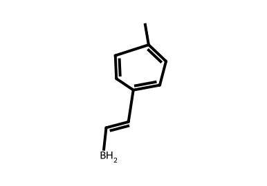 BC=Cc1ccc(C)cc1